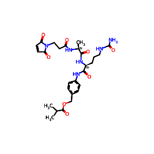 CC(C)C(=O)OCc1ccc(NC(=O)[C@H](CCCNC(N)=O)NC(=O)[C@H](C)NC(=O)CCN2C(=O)C=CC2=O)cc1